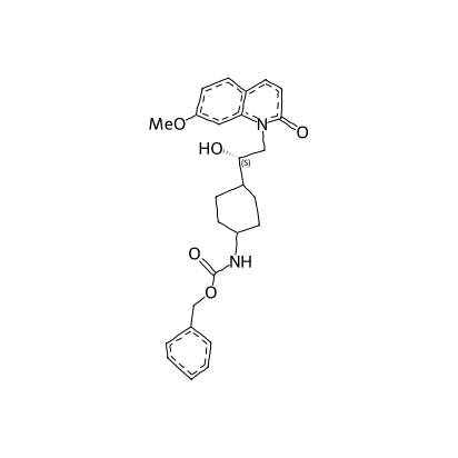 COc1ccc2ccc(=O)n(C[C@@H](O)C3CCC(NC(=O)OCc4ccccc4)CC3)c2c1